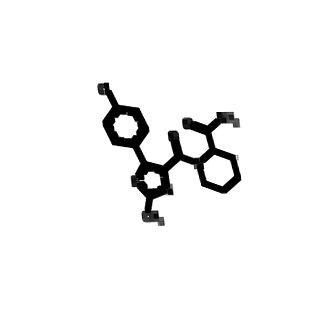 Cc1nc(C(=O)N2CCC[CH]C2C(N)=O)c(-c2ccc(Cl)cc2)s1